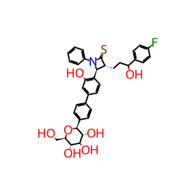 OC[C@H]1O[C@@H](c2ccc(-c3ccc([C@@H]4[C@@H](CCC(O)c5ccc(F)cc5)C(=S)N4c4ccccc4)c(O)c3)cc2)[C@H](O)[C@@H](O)[C@@H]1O